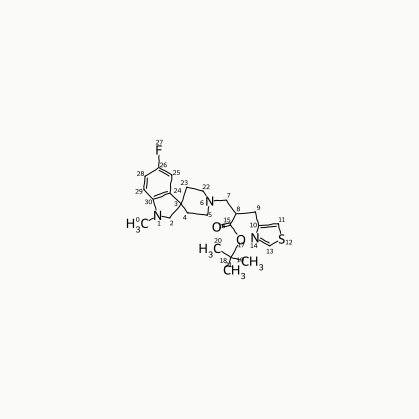 CN1CC2(CCN(CC(Cc3cscn3)C(=O)OC(C)(C)C)CC2)c2cc(F)ccc21